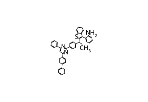 CCC(c1ccc(-c2nc(-c3ccccc3)cc(-c3ccc(-c4ccccc4)cc3)n2)cc1)c1sc2ccccc2c1-c1ccccc1N